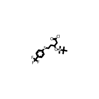 CC(C)(C)[Si](C)(C)OC(CCSc1ccc(C(F)(F)F)cc1)CC(=O)Cl